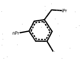 [CH2]c1cc(CCC)cc(CC(C)C)c1